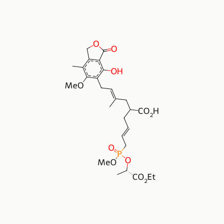 CCOC(=O)[C@H](C)OP(=O)(C/C=C/CC(C/C(C)=C/Cc1c(O)c2c(c(C)c1OC)COC2=O)C(=O)O)OC